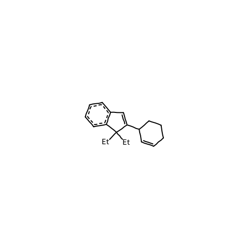 CCC1(CC)C(C2C=CCCC2)=Cc2ccccc21